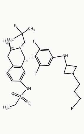 CCS(=O)(=O)Nc1ccc2c(c1)[C@@H](c1c(F)cc(NC3CN(CCCF)C3)cc1F)N(CC(C)(C)F)[C@H](C)C2